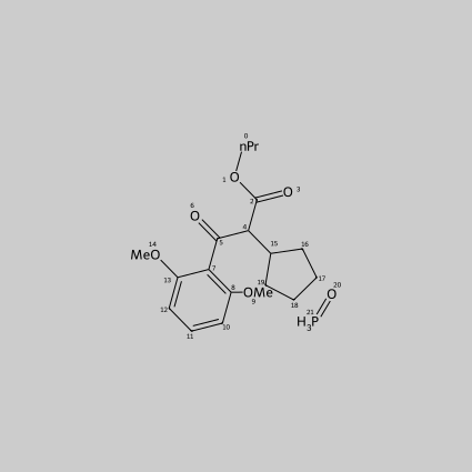 CCCOC(=O)C(C(=O)c1c(OC)cccc1OC)C1CCCC1.O=[PH3]